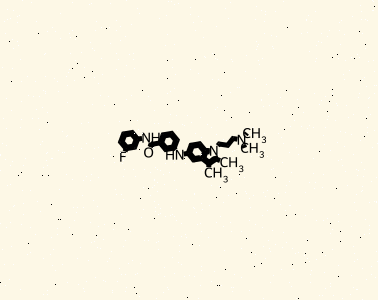 Cc1c(C)n(CCCN(C)C)c2ccc(Nc3cccc(C(=O)Nc4cccc(F)c4)c3)cc12